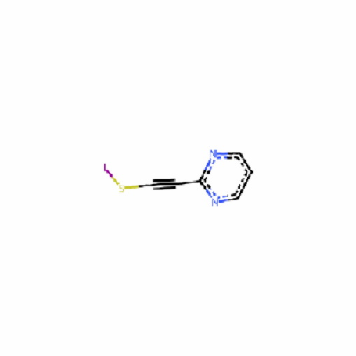 ISC#Cc1ncccn1